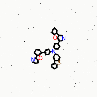 c1ccc2c(c1)oc1c(-c3ccc(N(c4ccc(-c5cccc6c5oc5cccnc56)cc4)c4ccc5sc6ccccc6c5c4)cc3)cncc12